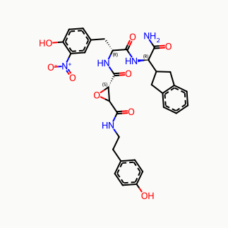 NC(=O)[C@H](NC(=O)[C@@H](Cc1ccc(O)c([N+](=O)[O-])c1)NC(=O)[C@H]1OC1C(=O)NCCc1ccc(O)cc1)C1Cc2ccccc2C1